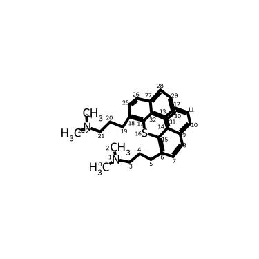 CN(C)CCCc1ccc2ccccc2c1Sc1c(CCCN(C)C)ccc2ccccc12